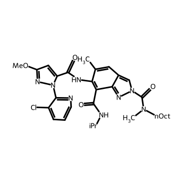 CCCCCCCCN(C)C(=O)n1cc2cc(C)c(NC(=O)c3cc(OC)nn3-c3ncccc3Cl)c(C(=O)NC(C)C)c2n1